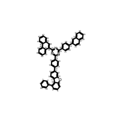 c1ccc(-c2cccc3oc4cc(-c5ccc(-c6nc(-c7ccc(-c8ccc9ccccc9c8)cc7)nc(-c7cc8ccccc8c8ccccc78)n6)cc5)ccc4c23)cc1